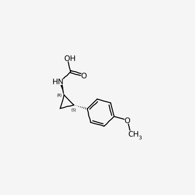 COc1ccc([C@@H]2C[C@H]2NC(=O)O)cc1